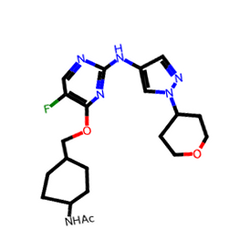 CC(=O)NC1CCC(COc2nc(Nc3cnn(C4CCOCC4)c3)ncc2F)CC1